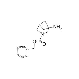 NC12CC(CN(C(=O)OCc3ccccc3)C1)C2